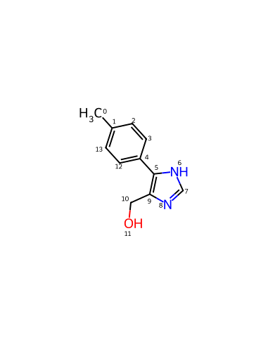 Cc1ccc(-c2[nH]cnc2CO)cc1